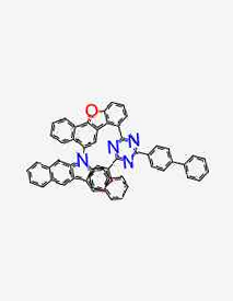 c1ccc(-c2ccc(-c3nc(-c4ccccc4)nc(-c4cccc5oc6c7ccccc7c(-n7c8cc9ccccc9cc8c8cc9ccccc9cc87)cc6c45)n3)cc2)cc1